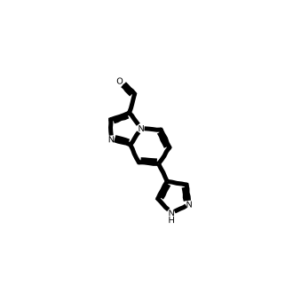 O=Cc1cnc2cc(-c3cn[nH]c3)ccn12